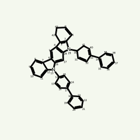 C1=Cc2c(c3cc4c5ccccc5n(-c5ccc(-c6ccccc6)cc5)c4cc3n2C2C=CC(c3ccccc3)=CC2)CC1